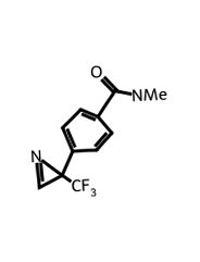 CNC(=O)c1ccc(C2(C(F)(F)F)C=N2)cc1